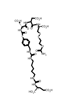 NC(=O)OCCSSC[C@@H](NC(=O)C(CC(=O)O)NC(=O)[C@@H](CC(=O)O)NC(=O)Cc1ccc(CNC(=O)NCCCCCNC(=O)N[C@@H](CCC(=O)O)C(=O)O)cc1)C(=O)O